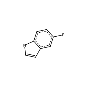 Fc1ccc2c(c1)C=C[N]2